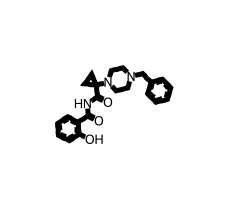 O=C(NC(=O)C1(N2CCN(Cc3ccccc3)CC2)CC1)c1ccccc1O